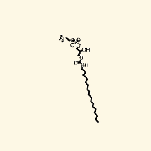 CCCCCCCCCCCCCCCCCCNC(=O)OCC(O)COP(=O)([O-])OCC[N+](C)(C)C